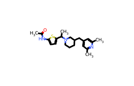 CC(=O)Nc1ccc(C(C)N2CCCC(Cc3cc(C)nc(C)c3)C2)s1